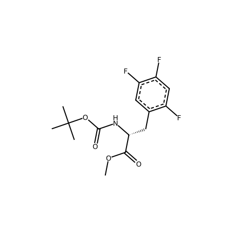 COC(=O)[C@@H](Cc1cc(F)c(F)cc1F)NC(=O)OC(C)(C)C